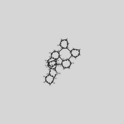 c1ccc2c(c1)-c1ccccc1-c1ccc3cccnc3c1-c1c-2cccc1-c1cccc2c1oc1ccccc12